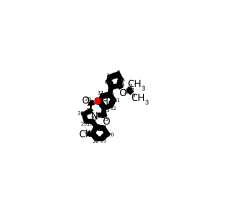 CC(C)Oc1ccccc1-c1ccc(C(=O)N2C(c3ccccc3Cl)CC[C@H]2C(=O)O)cc1